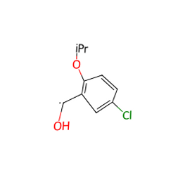 CC(C)Oc1ccc(Cl)cc1[CH]O